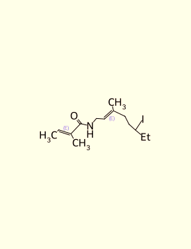 C/C=C(\C)C(=O)NC/C=C(\C)CCC(I)CC